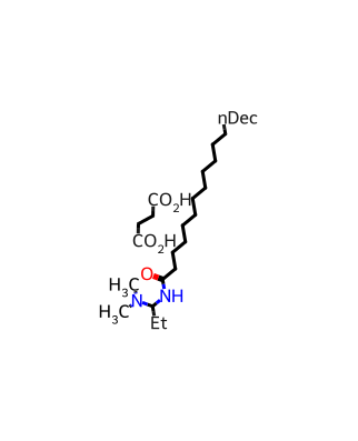 CCCCCCCCCCCCCCCCCCCCCC(=O)NC(CC)N(C)C.O=C(O)CCC(=O)O